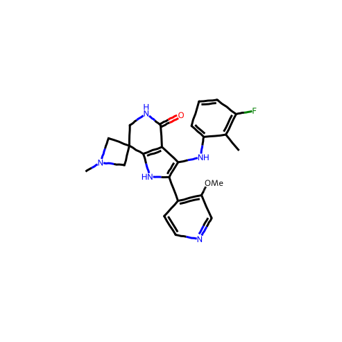 COc1cnccc1-c1[nH]c2c(c1Nc1cccc(F)c1C)C(=O)NCC21CN(C)C1